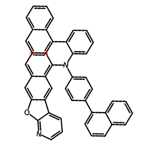 c1ccc(N(c2ccc(-c3cccc4ccccc34)cc2)c2cccc3cc4oc5ncccc5c4cc23)c(-c2cccc3ccccc23)c1